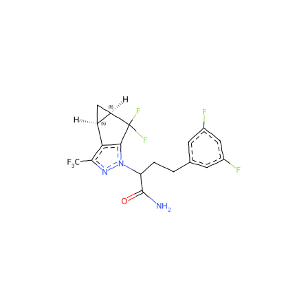 NC(=O)C(CCc1cc(F)cc(F)c1)n1nc(C(F)(F)F)c2c1C(F)(F)[C@@H]1C[C@H]21